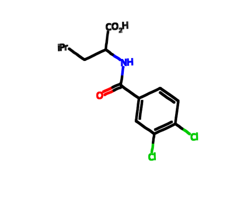 CC(C)CC(NC(=O)c1ccc(Cl)c(Cl)c1)C(=O)O